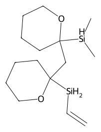 C=C[SiH2]C1(CC2([SiH](C)C)CCCCO2)CCCCO1